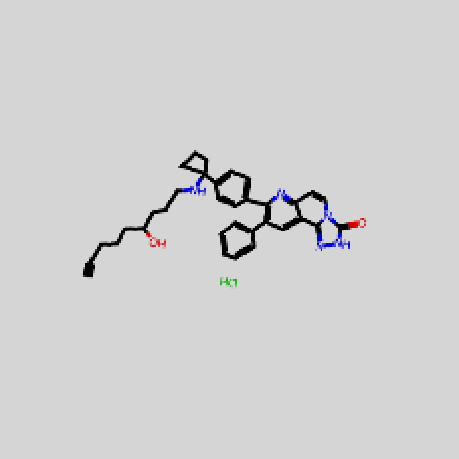 C#CCCCC(O)CCCNC1(c2ccc(-c3nc4ccn5c(=O)[nH]nc5c4cc3-c3ccccc3)cc2)CCC1.Cl